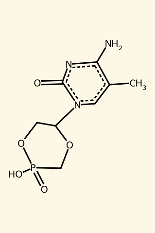 Cc1cn(C2COP(=O)(O)CO2)c(=O)nc1N